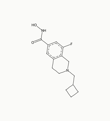 O=C(NO)c1cc(F)c2c(c1)CCN(CC1CCC1)C2